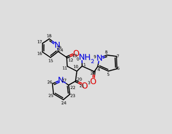 NC(C(=O)c1ccccn1)C(CC(=O)c1ccccn1)C(=O)c1ccccn1